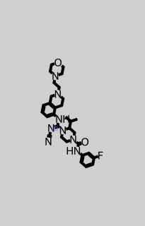 CC(C)C1CN(C(=O)Nc2cccc(F)c2)CCN1/C(=N\C#N)Nc1cccc2c1CCN(CCN1CCOCC1)C2